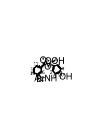 CC(=O)Nc1cc([As](=O)(O)OC(=O)c2cccc(Br)c2)ccc1O